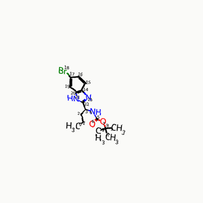 CCC[C@H](NC(=O)OC(C)(C)C)c1nc2ccc(Br)cc2[nH]1